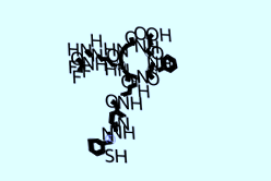 N=C(NCCC[C@@H]1NC(=O)[C@H](CCCCNC(=O)c2ccc(N/N=C/c3ccccc3S)nc2)NC(=O)[C@@H](Cc2ccccc2)NC(=O)[C@H](CC(=O)O)NC(=O)CNC1=O)NC(=O)C(F)(F)F